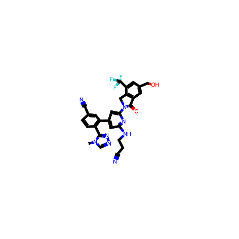 Cn1cnnc1-c1ccc(C#N)cc1-c1cc(NCCC#N)nc(N2Cc3c(cc(CO)cc3C(F)(F)F)C2=O)c1